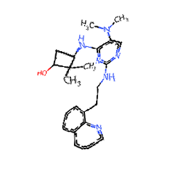 CN(C)c1cnc(NCCc2cccc3cccnc23)nc1N[C@@H]1CC(O)C1(C)C